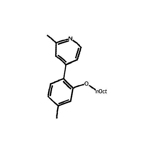 CCCCCCCCOc1cc(C)ccc1-c1ccnc(C)c1